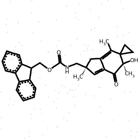 CC1=C2[CH][C@](C)(CNC(=O)OCC3c4ccccc4-c4ccccc43)C=C2C(=O)[C@](C)(O)C12CC2